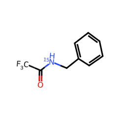 O=C([15NH]Cc1ccccc1)C(F)(F)F